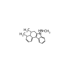 CNn1c2c(c3ccccc31)C1=CC=CC(C)C1C(C)C2